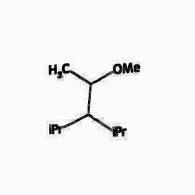 COC(C)C(C(C)C)C(C)C